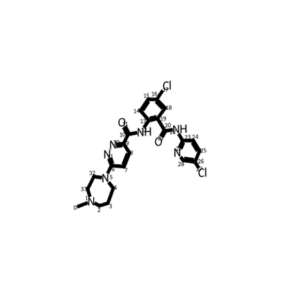 CN1CCCN(c2ccc(C(=O)Nc3ccc(Cl)cc3C(=O)Nc3ccc(Cl)cn3)nn2)CC1